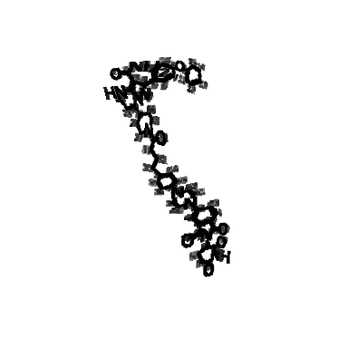 NC(=O)c1c(-c2ccc(Oc3ccccc3)cc2)nn2c1NCC[C@H]2C1CCN(C(=O)CCCc2ccc(N3CCN(c4ccc5c(c4)C(=O)N(C4CCC(=O)NC4=O)C5=O)CC3)cc2)CC1